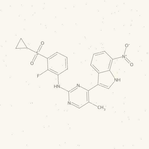 Cc1cnc(Nc2cccc(S(=O)(=O)C3CC3)c2F)nc1-c1c[nH]c2c([N+](=O)[O-])cccc12